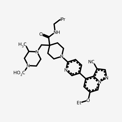 CCOc1cc(-c2ccc(N3CCC(CN4CCN(C(=O)O)CC4C)(C(=O)NCC(C)C)CC3)nc2)c2c(C#N)cnn2c1